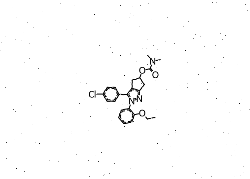 CCOc1ccccc1-n1nc2c(c1-c1ccc(Cl)cc1)CC(OC(=O)N(C)C)C2